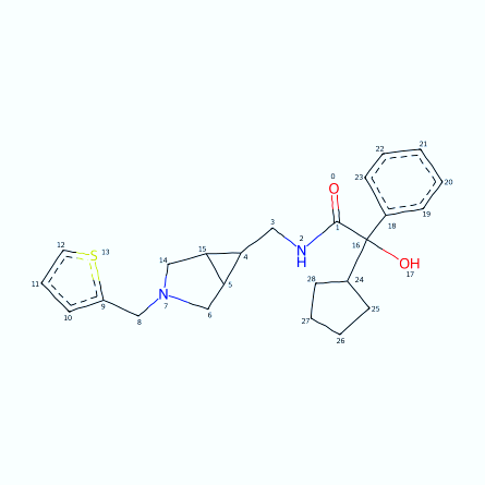 O=C(NCC1C2CN(Cc3cccs3)CC12)C(O)(c1ccccc1)C1CCCC1